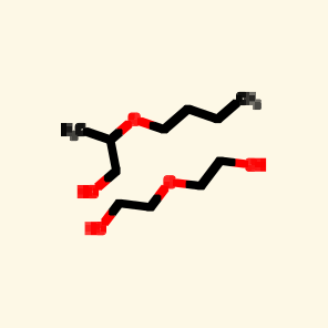 CCCCOC(C)CO.OCCOCCO